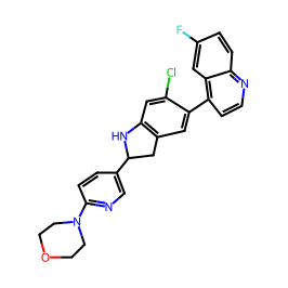 Fc1ccc2nccc(-c3cc4c(cc3Cl)NC(c3ccc(N5CCOCC5)nc3)C4)c2c1